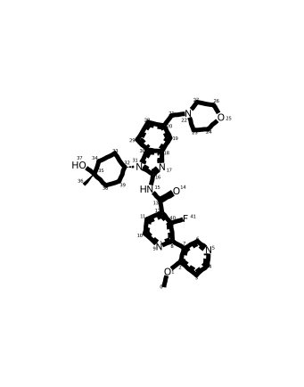 COc1ccncc1-c1nccc(C(=O)Nc2nc3cc(CN4CCOCC4)ccc3n2[C@H]2CC[C@@](C)(O)CC2)c1F